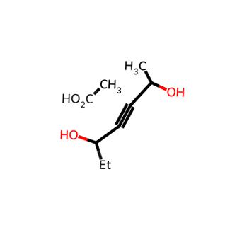 CC(=O)O.CCC(O)C#CC(C)O